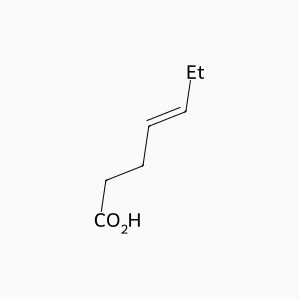 CCC=CCCC(=O)O